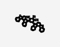 CCc1c(C#N)c(-n2c3ccccc3c3c4c(ccc32)sc2ccccc24)cc(-n2c3ccccc3c3c4c(ccc32)sc2ccccc24)c1C#N